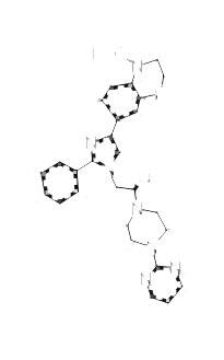 CN1CCOc2cc(-c3cn(CC(=O)N4CCN(c5ncccn5)CC4)c(-c4ccccc4)n3)ccc21